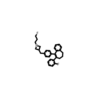 FCCCN1CC(Cc2ccc(C3=C(c4ccccc4F)CCCc4ccccc43)cc2)C1